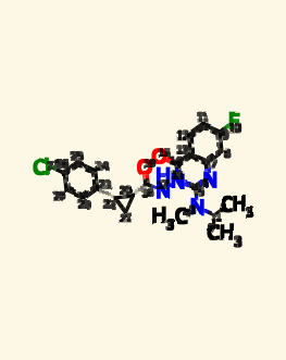 CC(C)N(C)c1nc2cc(F)ccc2c(=O)n1NC(=O)[C@@H]1C[C@@H]1c1ccc(Cl)cc1